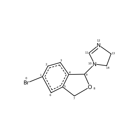 Brc1ccc2c(c1)COC2N1C=NCC1